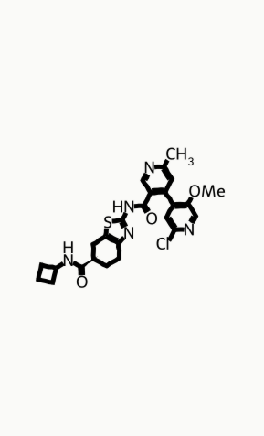 COc1cnc(Cl)cc1-c1cc(C)ncc1C(=O)Nc1nc2c(s1)C[C@H](C(=O)NC1CCC1)CC2